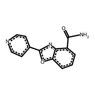 NC(=O)c1cccc2oc(-c3ccncc3)nc12